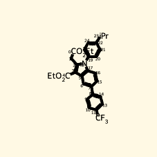 CCOC(=O)Cc1c(C(=O)OCC)c2cc(-c3ccc(C(F)(F)F)cc3)ccc2n1-c1ccc(C(C)C)cc1